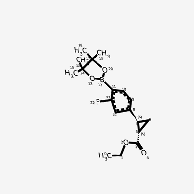 CCOC(=O)[C@H]1C[C@@H]1c1ccc(B2OC(C)(C)C(C)(C)O2)c(F)c1